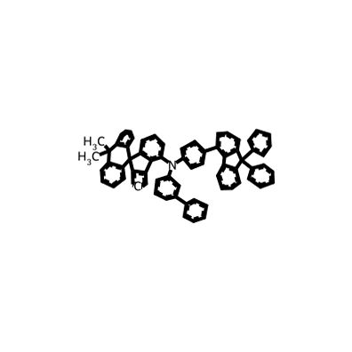 CC1(C)c2ccccc2C2(c3ccccc3-c3c(N(c4ccc(-c5cccc6c5-c5ccccc5C6(c5ccccc5)c5ccccc5)cc4)c4cccc(-c5ccccc5)c4)cccc32)c2ccccc21